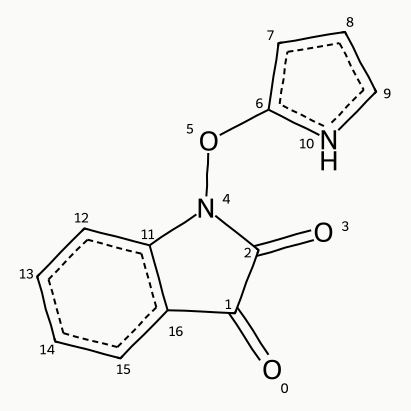 O=C1C(=O)N(Oc2ccc[nH]2)c2ccccc21